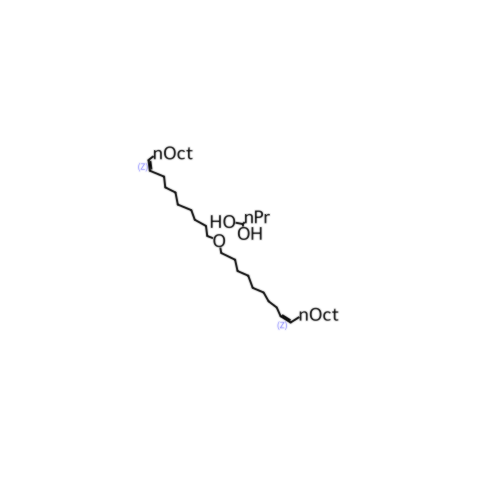 CCCC(O)O.CCCCCCCC/C=C\CCCCCCCCOCCCCCCCC/C=C\CCCCCCCC